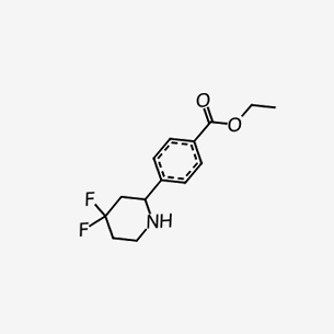 CCOC(=O)c1ccc(C2CC(F)(F)CCN2)cc1